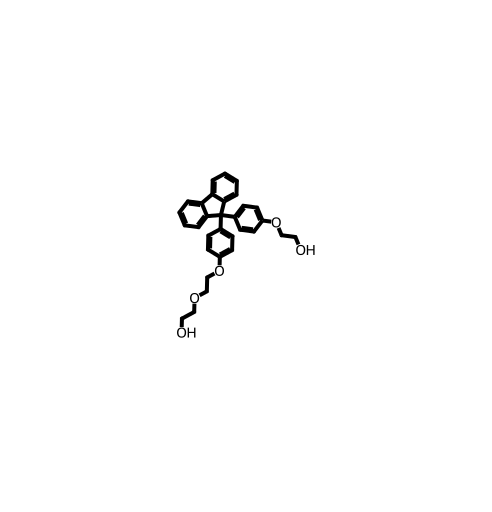 OCCOCCOc1ccc(C2(c3ccc(OCCO)cc3)c3ccccc3-c3ccccc32)cc1